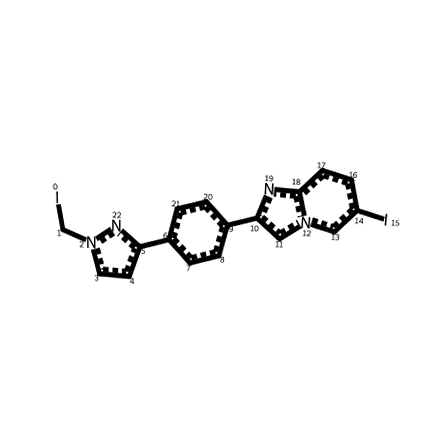 ICn1ccc(-c2ccc(-c3cn4cc(I)ccc4n3)cc2)n1